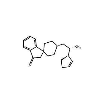 C[C@@H](CN1CCC2(CC1)CC(=O)c1ccccc12)[C@H]1C=CCC1